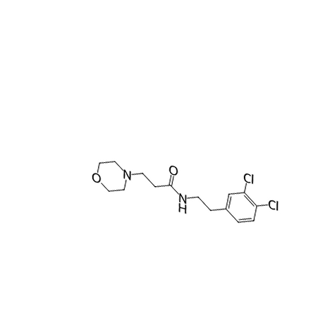 O=C(CCN1CCOCC1)NCCc1ccc(Cl)c(Cl)c1